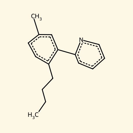 CCCCc1ccc(C)cc1-c1ccccn1